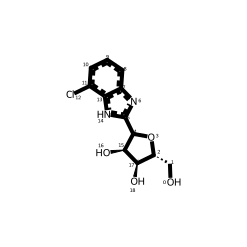 OC[C@H]1OC(c2nc3cccc(Cl)c3[nH]2)[C@H](O)[C@@H]1O